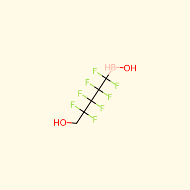 OBC(F)(F)C(F)(F)C(F)(F)C(F)(F)CO